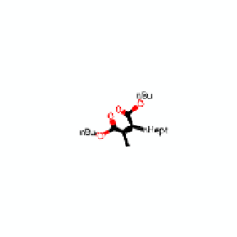 CCCCCCC/C(C(=O)OCCCC)=C(\C)C(=O)OCCCC